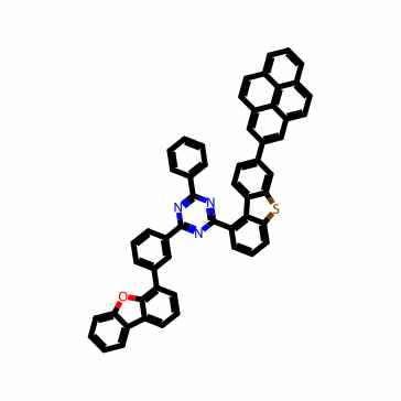 c1ccc(-c2nc(-c3cccc(-c4cccc5c4oc4ccccc45)c3)nc(-c3cccc4sc5cc(-c6cc7ccc8cccc9ccc(c6)c7c89)ccc5c34)n2)cc1